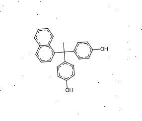 CC(c1ccc(O)cc1)(c1ccc(O)cc1)c1cccc2ccccc12